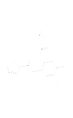 COc1cc(CC(=O)c2ccoc2)c(NC(=O)OC(C)(C)C)cc1Cl